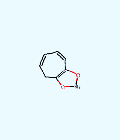 B1OC2=C(CC=CC=C2)O1